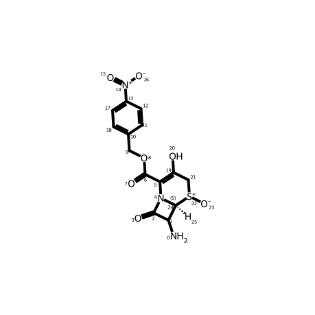 NC1C(=O)N2C(C(=O)OCc3ccc([N+](=O)[O-])cc3)=C(O)C[S+]([O-])[C@@H]12